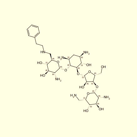 NC[C@@H]1O[C@H](O[C@H]2[C@@H](O)[C@H](O[C@@H]3[C@@H](O)[C@H](N)C[C@H](N)[C@H]3O[C@H]3O[C@H](CNCCc4ccccc4)[C@@H](O)[C@H](O)[C@H]3N)O[C@@H]2CO)[C@H](N)[C@@H](O)[C@@H]1O